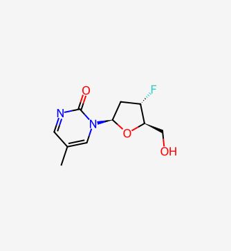 Cc1cnc(=O)n([C@H]2C[C@H](F)[C@@H](CO)O2)c1